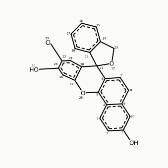 Oc1ccc2c3c(ccc2c1)C1(OCc2ccccc21)c1cc(Cl)c(O)cc1O3